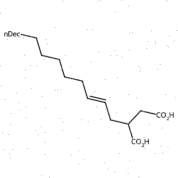 CCCCCCCCCCCCCCCC=CCC(CC(=O)O)C(=O)O